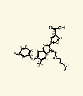 COCCOCn1c(-n2cc(C(=O)O)cn2)nc2cc(Sc3cccc(C)c3)c(Cl)cc21